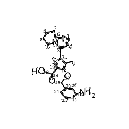 Cc1c(-c2cnc3ccccn23)sc(C(=O)O)c1OCc1cccc(N)c1